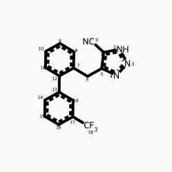 N#Cc1[nH]nnc1Cc1ccccc1-c1cccc(C(F)(F)F)c1